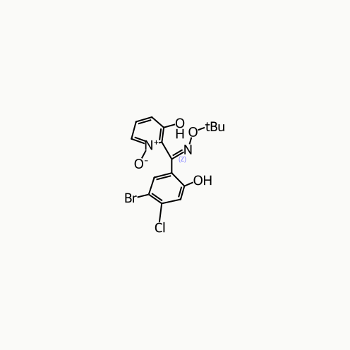 CC(C)(C)O/N=C(/c1cc(Br)c(Cl)cc1O)c1c(O)ccc[n+]1[O-]